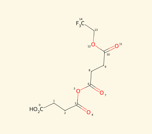 O=C(O)CCC(=O)OC(=O)CCC(=O)OCC(F)(F)F